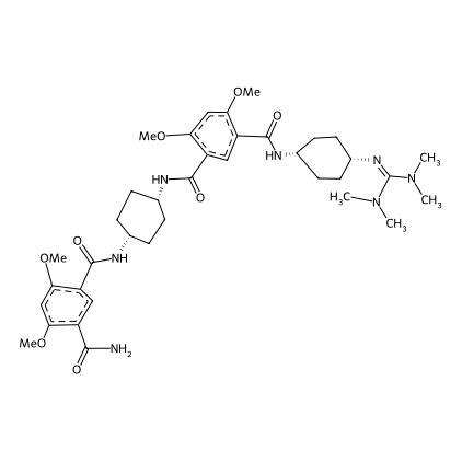 COc1cc(OC)c(C(=O)N[C@H]2CC[C@@H](NC(=O)c3cc(C(=O)N[C@H]4CC[C@@H](N=C(N(C)C)N(C)C)CC4)c(OC)cc3OC)CC2)cc1C(N)=O